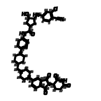 N#Cc1ccc(NC2CC(C(=O)Nc3ccc(N4CCC(CN5CCN(c6ccc7c(c6)C(=O)N(C6CCC(=O)NC6=O)C7=O)CC5)CC4)nn3)CC2O)cc1Cl